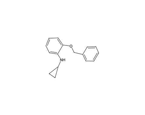 c1ccc(COc2ccccc2NC2CC2)cc1